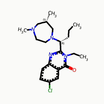 CCC[C@H](c1nc2ccc(Cl)cc2c(=O)n1CC)N1CCN(C)C[C@H](C)C1